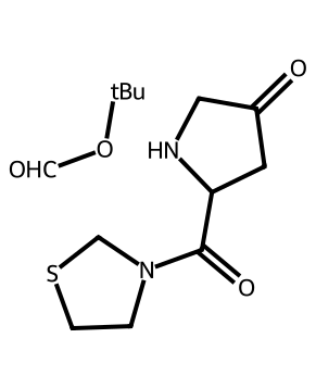 CC(C)(C)OC=O.O=C1CNC(C(=O)N2CCSC2)C1